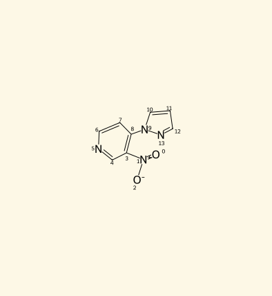 O=[N+]([O-])c1cnccc1-n1cccn1